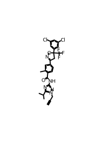 C#CCn1nc(NC(=O)c2ccc(C3=NOC(c4cc(Cl)cc(Cl)c4)(C(F)(F)F)C3)cc2C)nc1C(C)C